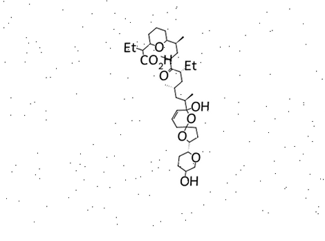 CCC(C(=O)O)C1CCCC([C@@H](C)CC(C)C(=O)[C@H](CC)C[C@@H](C)C[C@@H](C)C2(O)C=CCC3(CCC([C@H]4CCC(O)CO4)O3)O2)O1